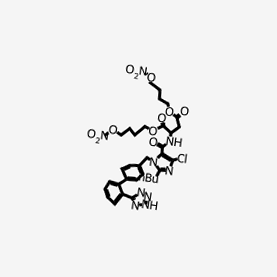 CCCCc1nc(Cl)c(C(=O)NC(CC(=O)OCCCCO[N+](=O)[O-])C(=O)OCCCCO[N+](=O)[O-])n1Cc1ccc(-c2ccccc2-c2nn[nH]n2)cc1